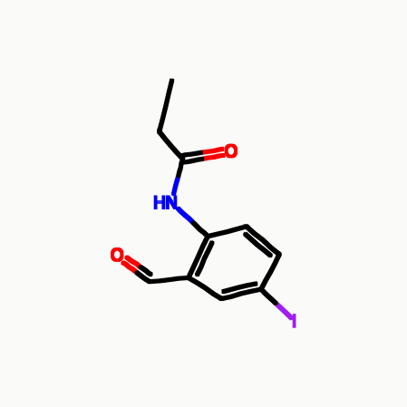 CCC(=O)Nc1ccc(I)cc1C=O